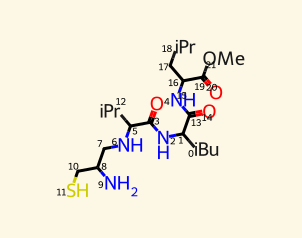 CCC(C)C(NC(=O)C(NCC(N)CS)C(C)C)C(=O)NC(CC(C)C)C(=O)OC